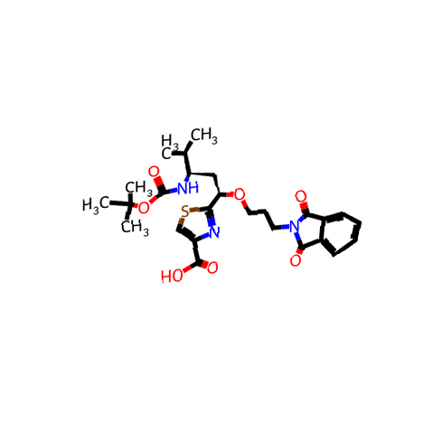 CC(C)[C@@H](C[C@@H](OCCCN1C(=O)c2ccccc2C1=O)c1nc(C(=O)O)cs1)NC(=O)OC(C)(C)C